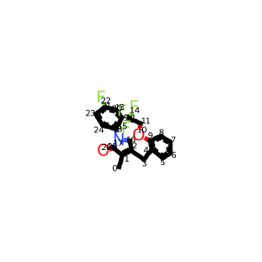 CC1=C(Cc2ccccc2OCC(F)(F)F)CN(c2ccc(F)cc2)C1=O